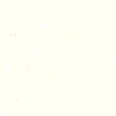 CCCCCCCCCCCCCCCC[N+](C)(CCO)CCO.[Cl-]